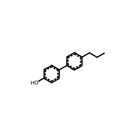 CCCc1ccc(-c2ccc(O)cc2)cc1